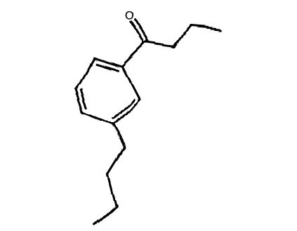 CCCCc1cccc(C(=O)CCC)c1